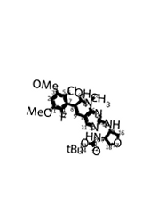 COc1cc(OC)c(Cl)c(C2=Cc3cnc(N[C@@H]4COC[C@@H]4NC(=O)OC(C)(C)C)nc3N(C)C2O)c1F